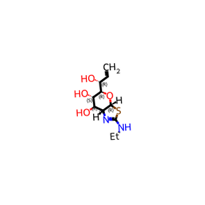 C=C[C@@H](O)[C@H]1O[C@@H]2SC(NCC)=N[C@@H]2[C@@H](O)[C@@H]1O